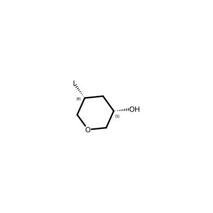 O[C@@H]1COC[C@H](I)C1